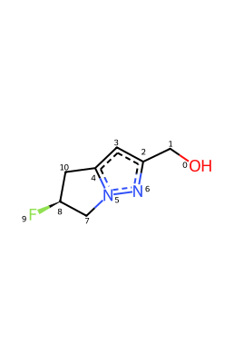 OCc1cc2n(n1)C[C@@H](F)C2